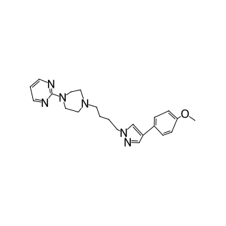 COc1ccc(-c2cnn(CCCCN3CCN(c4ncccn4)CC3)c2)cc1